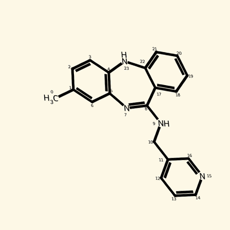 Cc1ccc2c(c1)N=C(NCc1cccnc1)c1ccccc1N2